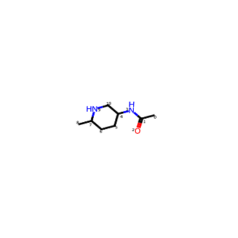 CC(=O)NC1CCC(C)NC1